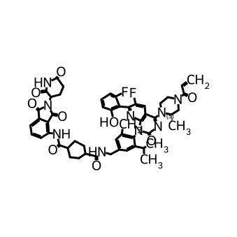 C=CC(=O)N1CCN(c2nc(=O)n(-c3c(C)cc(CNC(=O)C4CCC(C(=O)Nc5cccc6c5C(=O)N(C5CCC(=O)NC5=O)C6=O)CC4)cc3C(C)C)c3nc(-c4c(O)cccc4F)c(F)cc23)[C@@H](C)C1